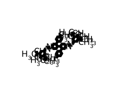 Cc1ccc(-c2cc(/N=N/C=C3C=C(C(C)(C)C)C(=O)C(C(C)(C)C)=C3)ccc2-c2ccc(/N=N/C=C3C=C(C(C)(C)C)C(=O)C(C(C)(C)C)=C3)cc2-c2ccc(C)cc2)cc1